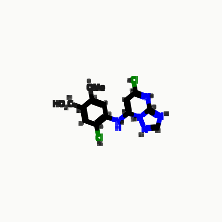 COc1cc(Nc2cc(Cl)nc3ncnn23)c(Cl)cc1C(=O)O